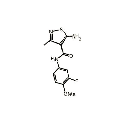 COc1ccc(NC(=O)c2c(C)nsc2N)cc1F